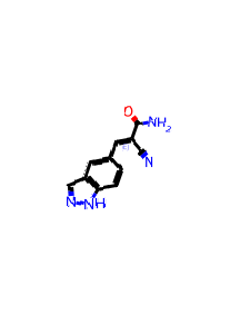 N#C/C(=C\c1ccc2[nH]ncc2c1)C(N)=O